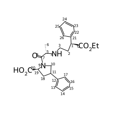 CCOC(=O)[C@@H](CCN[C@@H](C)C(=O)N1CC(c2ccccc2)C[C@H]1C(=O)O)c1ccccc1